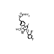 Cc1cc(OCc2ccc(F)cc2F)c(Br)c(=O)n1-c1ccc(CN(C)CC(N)=O)cc1.Cl